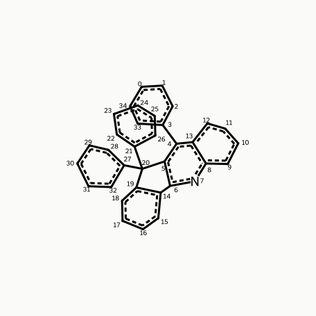 c1ccc(-c2c3c(nc4ccccc24)-c2ccccc2C3(c2ccccc2)c2ccccc2)cc1